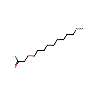 CCCCCCCCCCCCCCCCCCCCC(=O)Cl